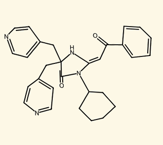 O=C(/C=C1\NC(Cc2ccncc2)(Cc2ccncc2)C(=O)N1C1CCCCC1)c1ccccc1